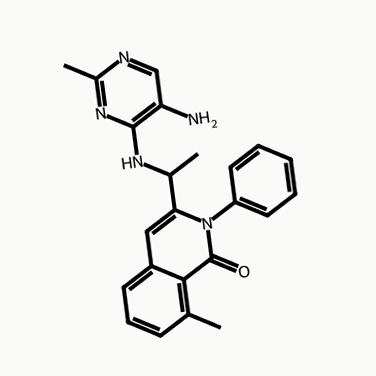 Cc1ncc(N)c(NC(C)c2cc3cccc(C)c3c(=O)n2-c2ccccc2)n1